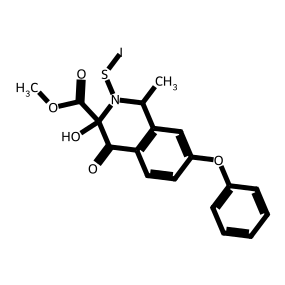 COC(=O)C1(O)C(=O)c2ccc(Oc3ccccc3)cc2C(C)N1SI